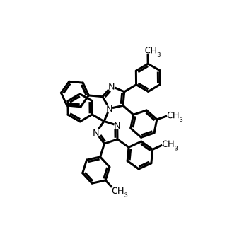 Cc1cccc(C2=NC(c3ccccc3)(n3c(-c4ccccc4)nc(-c4cccc(C)c4)c3-c3cccc(C)c3)N=C2c2cccc(C)c2)c1